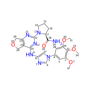 COc1cc(-n2cnc(Nc3nc(N4CCC[C@H]4C(N)=O)nc4c3COC4)c2)cc(OC)c1OC